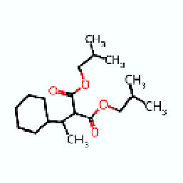 CC(C)COC(=O)C(C(=O)OCC(C)C)C(C)C1CCCCC1